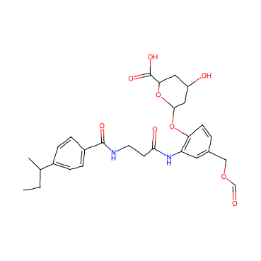 CCC(C)c1ccc(C(=O)NCCC(=O)Nc2cc(COC=O)ccc2OC2CC(O)CC(C(=O)O)O2)cc1